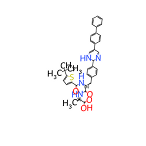 C[C@@H](NC(=O)[C@H](Cc1ccc(C2N=CC(c3ccc(-c4ccccc4)cc3)=CN2)cc1)NC(=O)c1ccc(C(C)(C)C)s1)C(=O)O